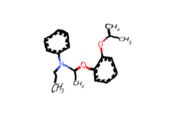 CCN(c1ccccc1)C(C)Oc1ccccc1OC(C)C